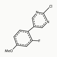 COc1ccc(-c2cnc(Cl)nc2)c(F)c1